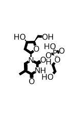 Cc1cn([C@H]2C[C@H](O)[C@@H](CO)O2)c(=O)[nH]c1=O.O=P(O)(O)OCCO